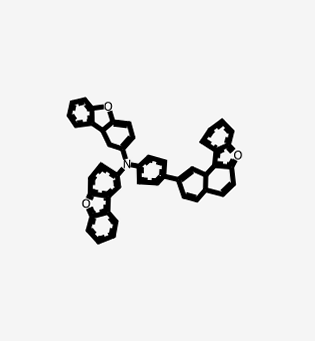 C1=CC2C=Cc3oc4ccccc4c3C2C=C1c1ccc(N(C2=CC=C3Oc4ccccc4C3C2)c2ccc3oc4ccccc4c3c2)cc1